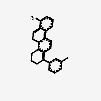 Cc1cccc(C2=c3ccc4c(c3CCC2)CC=c2c(Br)cccc2=4)c1